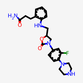 NC(=O)CCc1ccccc1NCC1CN(c2ccc(N3CCNCC3)c(F)c2)C(=O)O1